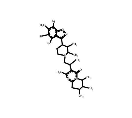 [2H]c1c(C)c([2H])c2onc(C3CCN(CC(C)c4c(C)nc5n(c4=O)C(C)C(C)C(C)C5)C(C)C3C)c2c1[2H]